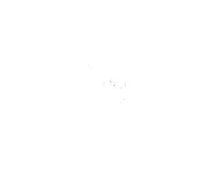 CC(C)=CCC/C(C)=C/C(=O)NCC1CCOC1